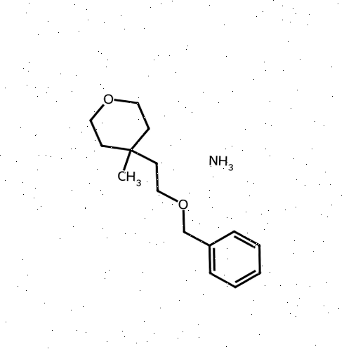 CC1(CCOCc2ccccc2)CCOCC1.N